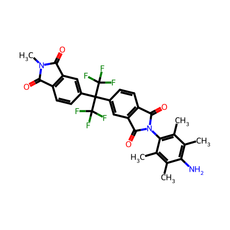 Cc1c(C)c(N2C(=O)c3ccc(C(c4ccc5c(c4)C(=O)N(C)C5=O)(C(F)(F)F)C(F)(F)F)cc3C2=O)c(C)c(C)c1N